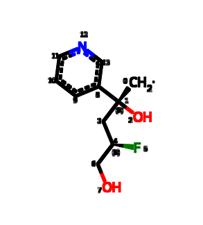 [CH2][C@@](O)(C[C@@H](F)CO)c1cccnc1